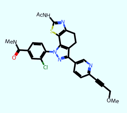 CNC(=O)c1ccc(-n2nc(-c3ccc(C#CCOC)nc3)c3c2-c2sc(NC(C)=O)nc2CC3)c(Cl)c1